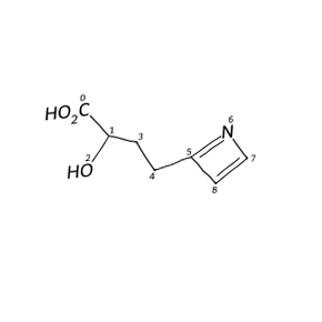 O=C(O)C(O)CCC1=NC=C1